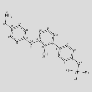 CC(F)(F)Oc1ccc(-c2ncnc(Nc3ccc(CN)cc3)c2O)cc1